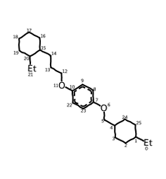 CCC1CCC(COc2ccc(OCCCC3CCCCC3CC)cc2)CC1